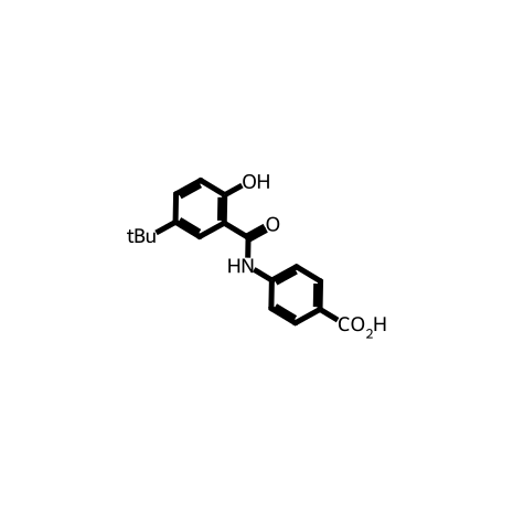 CC(C)(C)c1ccc(O)c(C(=O)Nc2ccc(C(=O)O)cc2)c1